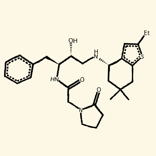 CCc1cc2c(s1)CC(C)(C)C[C@@H]2NC[C@@H](O)[C@H](Cc1ccccc1)NC(=O)CN1CCCC1=O